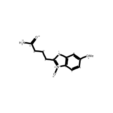 COc1ccc2c(c1)sc(CCCC(N)=O)[n+]2[O-]